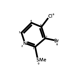 CSc1nccc(Cl)c1Br